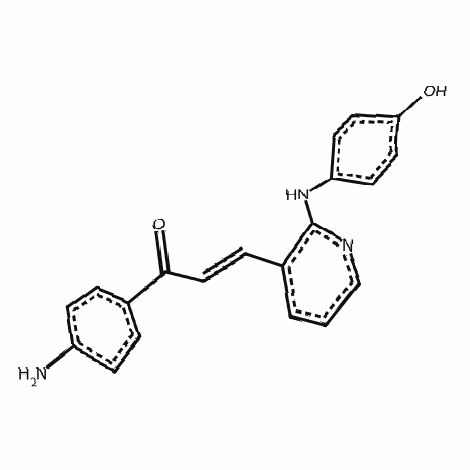 Nc1ccc(C(=O)C=Cc2cccnc2Nc2ccc(O)cc2)cc1